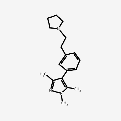 Cc1nn(C)c(C)c1-c1cccc(CCN2CCCC2)c1